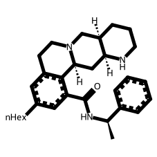 CCCCCCc1cc2c(c(C(=O)N[C@H](C)c3ccccc3)c1)[C@@H]1C[C@@H]3NCCC[C@@H]3CN1CC2